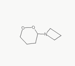 C1COOC(N2CCC2)C1